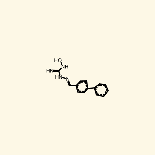 N=C(NO)NN=Cc1ccc(-c2ccccc2)cc1